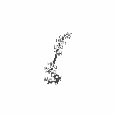 COC1C(OC(=O)N[C@@H](COC(=O)NCCCCCCNC(=O)CNC(=O)CNNCC(=O)NCC(C)=O)C(C)C)CC[C@]2(CO2)C1C1(C)O[C@@H]1CC=C(C)C